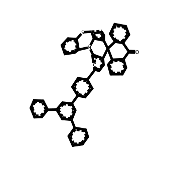 O=C1c2ccccc2C2(c3ccccc31)c1ccc(-c3ccc(-c4cc(-c5ccccc5)cc(-c5ccccc5)c4)cc3)cc1N1c3ccccc3Sc3cccc2c31